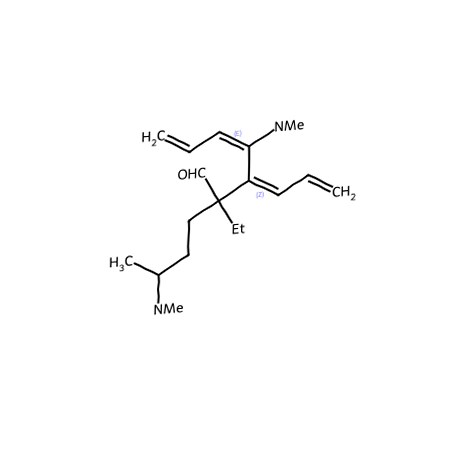 C=C/C=C(\C(=C/C=C)NC)C(C=O)(CC)CCC(C)NC